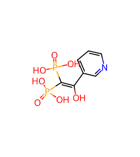 O=P(O)(O)C(=C(O)c1cccnc1)P(=O)(O)O